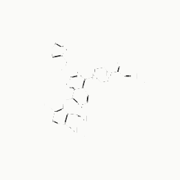 C=CC(=O)N1CCN(c2nc(OCc3cscn3)nc3c(Oc4c(C)ccc(N)c4C=N)nccc23)CC1